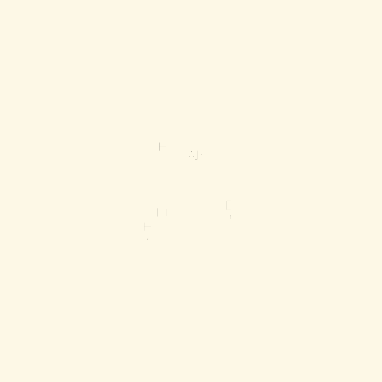 CC[CH]([Al+2])CC.[H-].[H-]